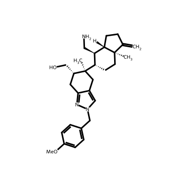 C=C1CC[C@H]2[C@H](CN)[C@@H]([C@@]3(C)Cc4cn(Cc5ccc(OC)cc5)nc4C[C@@H]3CO)CC[C@]12C